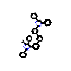 C[Si]1(C)c2ccccc2-c2c(-c3cccc(-c4cccc(-c5cccc(-c6nc(-c7ccccc7)cc(-c7ccccc7)n6)c5)c4)c3)nc(-c3ccccc3)nc21